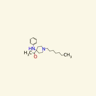 CCCCCCCN1CCC(Nc2ccccc2)(C(C)=O)CC1